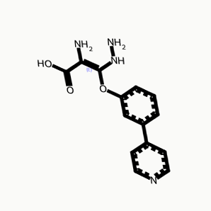 NN/C(Oc1cccc(-c2ccncc2)c1)=C(\N)C(=O)O